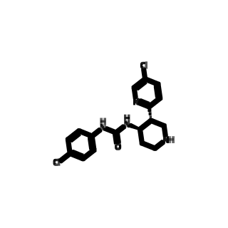 O=C(Nc1ccc(Cl)cc1)N[C@@H]1CCNC[C@H]1c1ccc(Cl)cn1